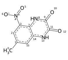 Cc1cc([N+](=O)[O-])c2[nH]c(=O)c(=O)[nH]c2c1